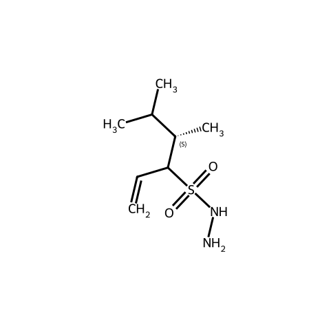 C=CC([C@@H](C)C(C)C)S(=O)(=O)NN